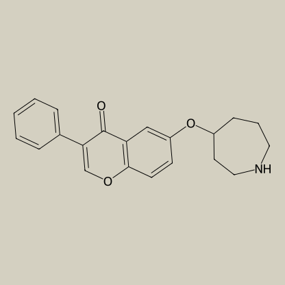 O=c1c(-c2ccccc2)coc2ccc(OC3CCCNCC3)cc12